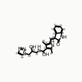 Cc1[nH]c(/C=C2\C(=O)Nc3ccccc32)c(C)c1C(O)NCC(O)Cn1ccnn1